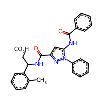 Cc1ccccc1C(CC(=O)O)NC(=O)c1cc(NC(=O)c2ccccc2)n(-c2ccccc2)n1